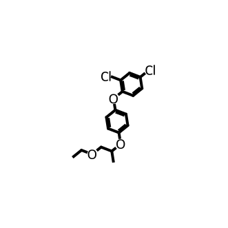 CCOCC(C)Oc1ccc(Oc2ccc(Cl)cc2Cl)cc1